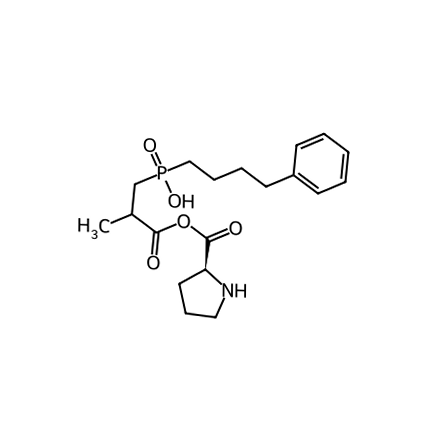 CC(CP(=O)(O)CCCCc1ccccc1)C(=O)OC(=O)[C@@H]1CCCN1